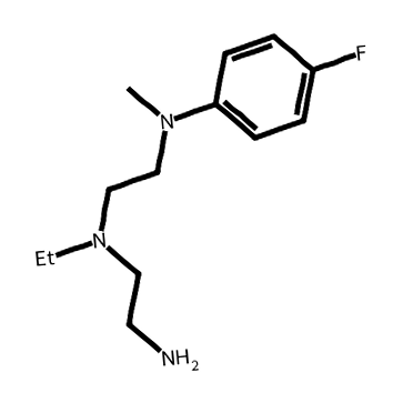 CCN(CCN)CCN(C)c1ccc(F)cc1